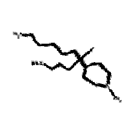 CCCCCCC(C)(CCCC)C1CCN(C)CC1